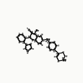 CC(C)n1c(=O)c(-c2ccccc2-c2ccoc2)cc2cnc(Nc3ccc(C4=CCNCC4)cc3)nc21